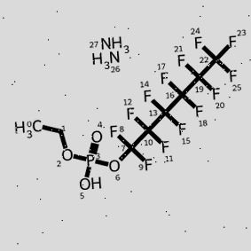 CCOP(=O)(O)OC(F)(F)C(F)(F)C(F)(F)C(F)(F)C(F)(F)C(F)(F)F.N.N